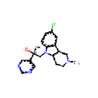 CN1CCC2C(C1)c1cc(Cl)ccc1N2C[C@@](C)(O)c1cncnc1